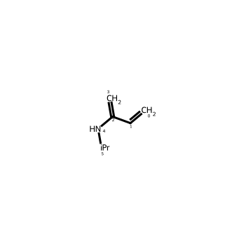 C=CC(=C)NC(C)C